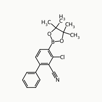 CC1(C)OB(c2ccc(-c3ccccc3)c(C#N)c2Cl)OC1(C)C